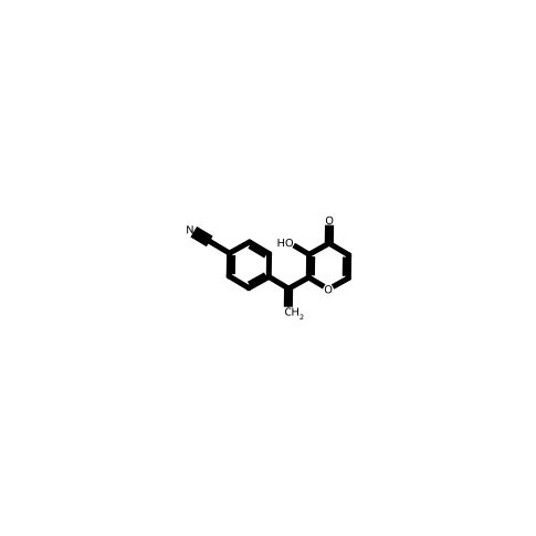 C=C(c1ccc(C#N)cc1)c1occc(=O)c1O